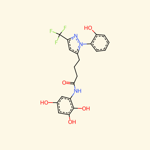 O=C(CCCc1cc(C(F)(F)F)nn1-c1ccccc1O)Nc1cc(O)cc(O)c1O